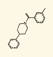 C=C(c1cccc(C)c1)N1CCC(c2ccccc2)CC1